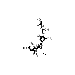 Cc1cc(-c2noc(-c3sc(C)c(CC(C)C)c3C)n2)cc(Cl)c1OC[C@H](O)CNC(=O)CO